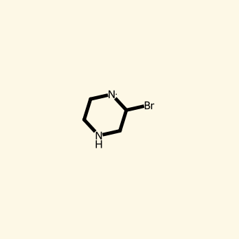 BrC1CNCC[N]1